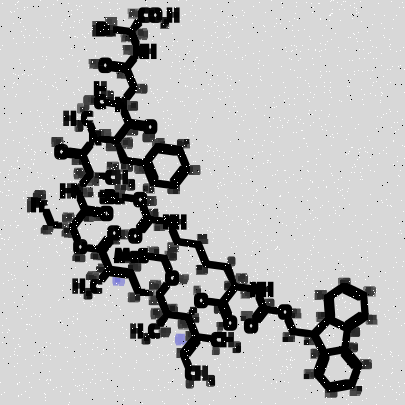 C/C=C(\C)[C@@H](OC(=O)[C@@H](CCCCNC(=O)OC(C)(C)C)NC(=O)OCC1c2ccccc2-c2ccccc21)[C@@H](C)[C@H](C/C=C(\C)C(=O)O[C@H](CC(C)C)C(=O)N[C@@H](C)C(=O)N(C)[C@H](Cc1ccccc1)C(=O)N(C)CC(=O)N[C@H](C(=O)O)C(C)CC)OCSC